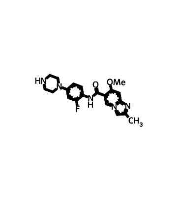 COc1cc2nc(C)cn2cc1C(=O)Nc1ccc(N2CCNCC2)cc1F